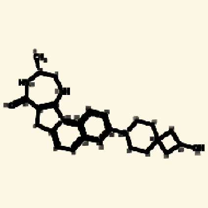 C[C@@H]1CNC2=C(CC3=CC=c4nc(N5CCC6(CC5)CC(O)C6)ccc4=S32)C(=O)N1